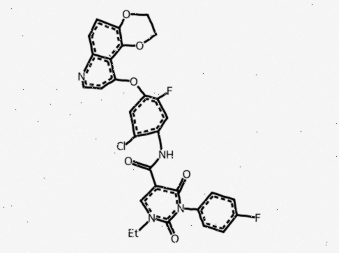 CCn1cc(C(=O)Nc2cc(F)c(Oc3ccnc4ccc5c(c34)OCCO5)cc2Cl)c(=O)n(-c2ccc(F)cc2)c1=O